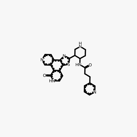 O=C(CCc1cccnc1)NC1CCNCC1c1nc2c3ccncc3c3c(=O)[nH]ccc3c2s1